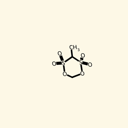 CC1S(=O)(=O)OCOS1(=O)=O